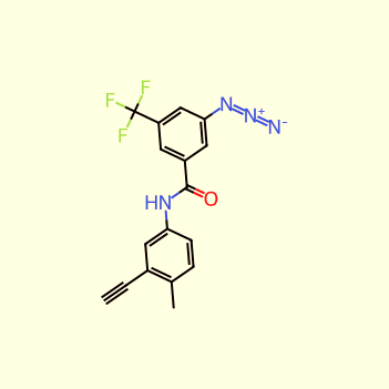 C#Cc1cc(NC(=O)c2cc(N=[N+]=[N-])cc(C(F)(F)F)c2)ccc1C